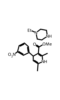 CCN1CCNCC1.COC(=O)C1=C(C)NC(C)=CC1c1cccc([N+](=O)[O-])c1